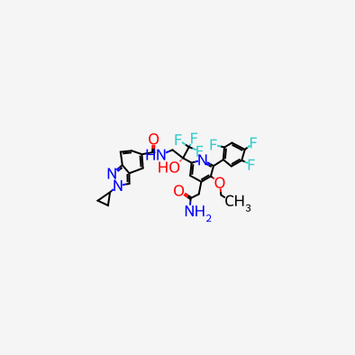 CCOc1c(CC(N)=O)cc([C@@](O)(CNC(=O)c2ccc3nn(C4CC4)cc3c2)C(F)(F)F)nc1-c1cc(F)c(F)cc1F